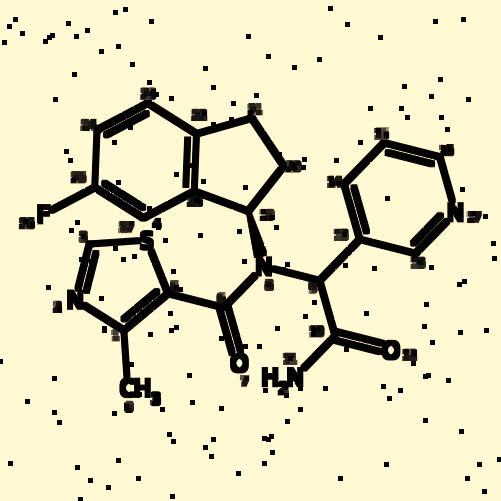 Cc1ncsc1C(=O)N(C(C(N)=O)c1cccnc1)[C@@H]1CCc2ccc(F)cc21